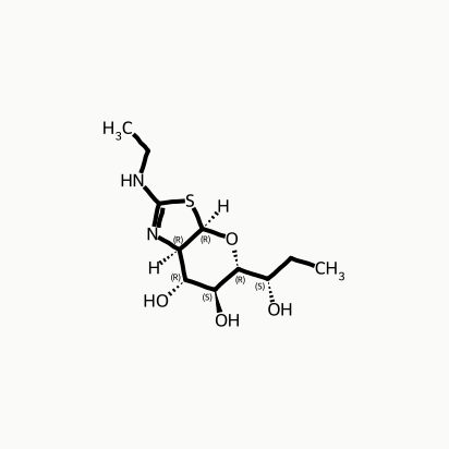 CCNC1=N[C@@H]2[C@@H](O)[C@H](O)[C@@H]([C@@H](O)CC)O[C@@H]2S1